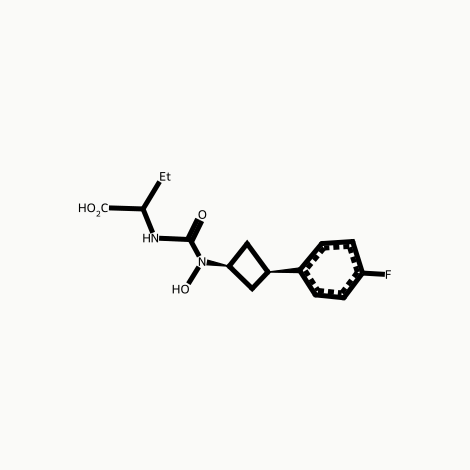 CCC(NC(=O)N(O)[C@H]1C[C@@H](c2ccc(F)cc2)C1)C(=O)O